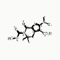 CCOC(=O)c1c([S+](C)[O-])sc2c1CC(C)(C)N(C(=O)OC(C)(C)C)C2=O